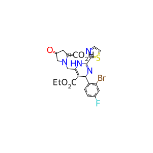 CCOC(=O)C1=C(CN2CC(=O)C[C@H]2C(=O)O)NC(c2nccs2)=NC1c1ccc(F)cc1Br